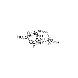 CCCCCCCCCCCCCCCC(=O)N(C)[C@H](CO)C(=O)NCCC(C)C(=O)NCC(=O)N(C)[C@@H]1C(=O)N[C@@H](C)C(=O)N[C@H](C(=O)O)Cc2ccc(O)c(c2)-c2cc1ccc2O